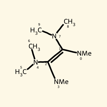 CN/C(=C(\NC)N(C)C)N(C)C